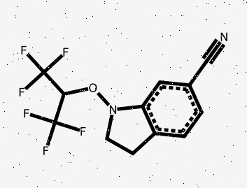 N#Cc1ccc2c(c1)N(OC(C(F)(F)F)C(F)(F)F)CC2